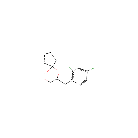 OCC(Cc1ccc(Cl)cc1Cl)OC1(O)CCCC1